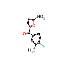 Cc1cc(C(=O)c2ccc([N+](=O)[O-])o2)ccc1F